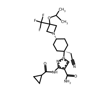 CC(C)OC1(C(F)(F)F)CN([C@H]2CC[C@](CC#N)(n3cc(C(N)=O)c(NC(=O)C4CC4)n3)CC2)C1